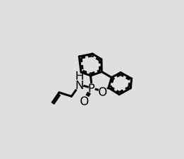 C=CCNP1(=O)Oc2ccccc2-c2ccccc21